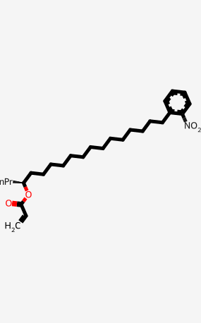 C=CC(=O)O[C@@H](CCC)CCCCCCCCCCCCCCc1ccccc1[N+](=O)[O-]